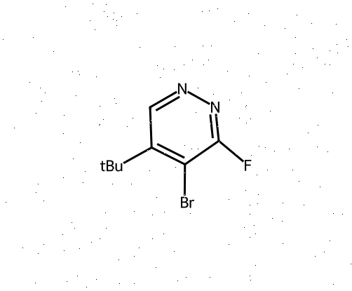 CC(C)(C)c1cnnc(F)c1Br